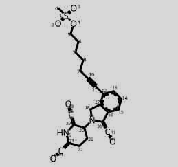 CS(=O)(=O)OCCCCCC#Cc1cccc2c1CN(C1CCC(=C=O)NC1=C=O)C2=C=O